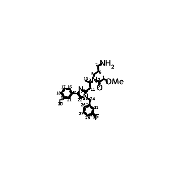 COCC(=O)N(CCCN)C(C)Cc1nc(-c2cccc(F)c2)cn1Cc1cccc(F)c1